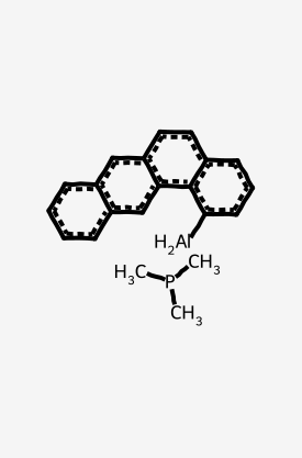 CP(C)C.[AlH2][c]1cccc2ccc3cc4ccccc4cc3c12